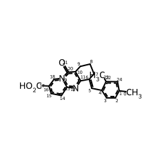 Cc1ccc(C=C2CCCc3c2nc2ccc(C(=O)O)cn2c3=O)c(C)c1